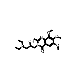 CCN(CC)CC(O)Cn1c(C)nc2c(OC)c(OC)c(OC)cc2c1=O